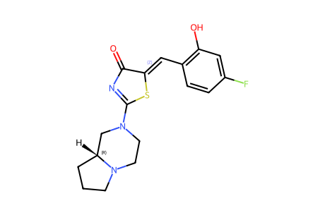 O=C1N=C(N2CCN3CCC[C@@H]3C2)S/C1=C\c1ccc(F)cc1O